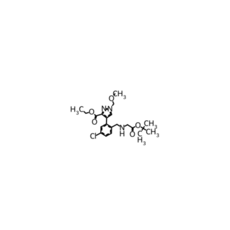 CCOC(=O)c1nn(COC)cc1-c1cc(Cl)ccc1CNCC(=O)OC(C)(C)C